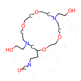 O=C=NCCC1CN(CCO)CCOCCOCCN(CCO)CCOCCO1